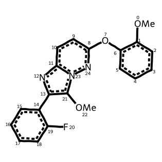 COc1ccccc1Oc1ccc2nc(-c3ccccc3F)c(OC)n2n1